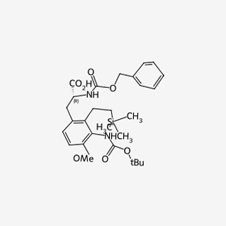 COc1ccc(C[C@@H](NC(=O)OCc2ccccc2)C(=O)O)c(CC[Si](C)(C)C)c1NC(=O)OC(C)(C)C